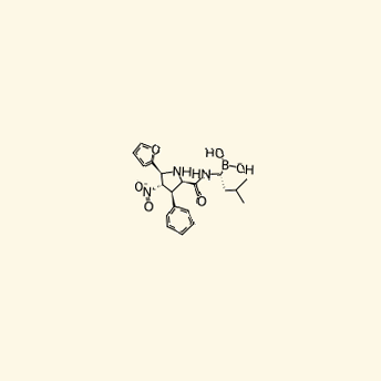 CC(C)C[C@H](NC(=O)[C@@H]1N[C@H](c2ccco2)[C@@H]([N+](=O)[O-])[C@@H]1c1ccccc1)B(O)O